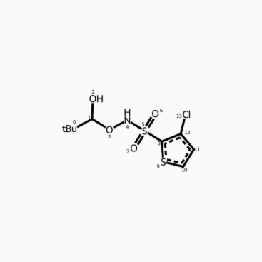 CC(C)(C)C(O)ONS(=O)(=O)c1sccc1Cl